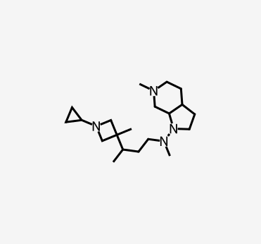 CC(CCN(C)N1CCC2CCN(C)CC21)C1(C)CN(C2CC2)C1